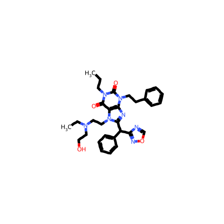 CCCn1c(=O)c2c(nc(C(c3ccccc3)c3ncon3)n2CCN(CC)CCO)n(CCc2ccccc2)c1=O